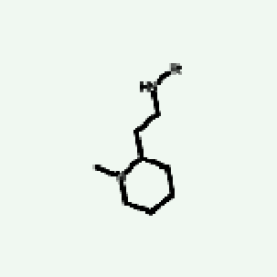 CCNCCC1CCCCN1C